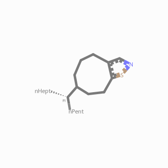 CCCCCCC[C@@H](CCCCC)C1CCCc2cnsc2CC1